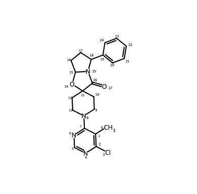 Cc1c(Cl)ncnc1N1CCC2(CC1)OC1CCC(c3ccccc3)N1C2=O